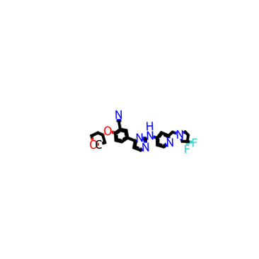 N#Cc1cc(-c2ccnc(Nc3ccnc(CN4CCC(F)(F)C4)c3)n2)ccc1OC1CCOCC1